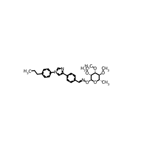 CCCc1ccc(-n2cnc(-c3ccc(/C=N/O[C@@H]4O[C@@H](C)[C@H](OC)[C@@H](OC)[C@H]4OC)cc3)c2)cc1